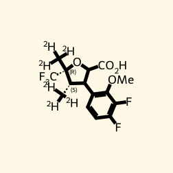 [2H]C([2H])([2H])[C@H]1C(c2ccc(F)c(F)c2OC)C(C(=O)O)O[C@@]1(C([2H])([2H])[2H])C(F)(F)F